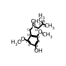 COc1cc(O)cc(OC)c1CN(C)CC(C)C